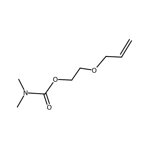 C=CCOCCOC(=O)N(C)C